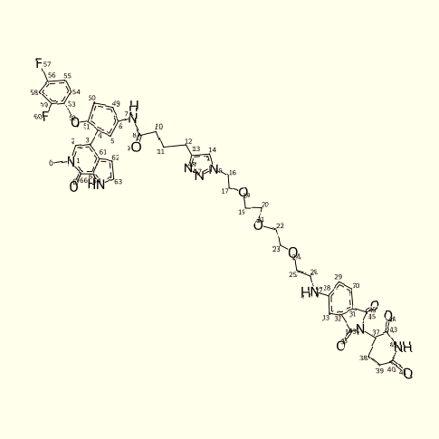 Cn1cc(-c2cc(NC(=O)CCCc3cn(CCOCCOCCOCCNc4ccc5c(c4)C(=O)N(C4CCC(=O)NC4=O)C5=O)nn3)ccc2Oc2ccc(F)cc2F)c2cc[nH]c2c1=O